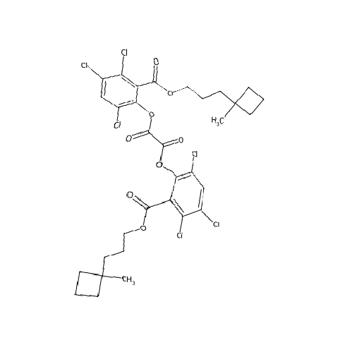 CC1(CCCOC(=O)c2c(Cl)c(Cl)cc(Cl)c2OC(=O)C(=O)Oc2c(Cl)cc(Cl)c(Cl)c2C(=O)OCCCC2(C)CCC2)CCC1